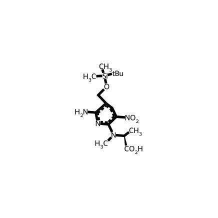 C[C@@H](C(=O)O)N(C)c1nc(N)c(CO[Si](C)(C)C(C)(C)C)cc1[N+](=O)[O-]